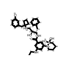 CCNc1cc(C(=O)N[C@@H](Cc2ccccc2)[C@@H](O)CNC2(Cc3cccc(Cl)c3)CCC2)cc(N2CCCCS2(O)O)c1